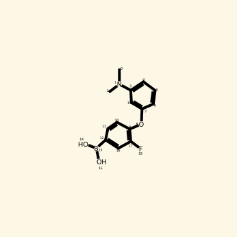 CN(C)c1cccc(Oc2ccc(B(O)O)cc2F)c1